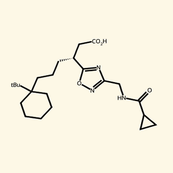 CC(C)(C)C1(CCC[C@H](CC(=O)O)c2nc(CNC(=O)C3CC3)no2)CCCCC1